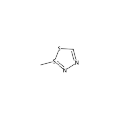 CS1=NN=CS1